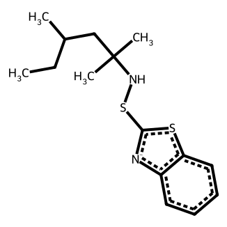 CCC(C)CC(C)(C)NSc1nc2ccccc2s1